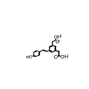 O=C(O)Cc1cc(C=Cc2ccc(O)cc2)cc(CC(=O)O)c1